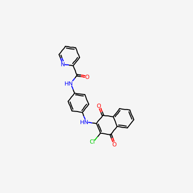 O=C(Nc1ccc(NC2=C(Cl)C(=O)c3ccccc3C2=O)cc1)c1ccccn1